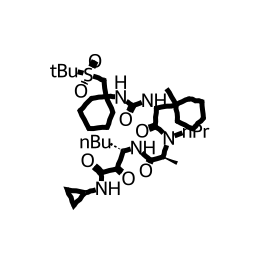 CCCC[C@H](NC(=O)[C@H](C)N(CCC)C(=O)[C@@H](NC(=O)NC1(CS(=O)(=O)C(C)(C)C)CCCCC1)C1(C)CCCCC1)C(=O)C(=O)NC1CC1